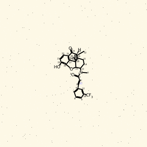 CN(C(=O)/C=C/c1cccc(C(F)(F)F)c1)C1CC[C@@]2(O)[C@H]3C(=O)c4ccc(O)c5c4[C@@]2(CCN3C)C1O5